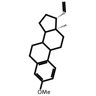 C=C[C@H]1CCC2C3CCc4cc(OC)ccc4C3CC[C@@]21C